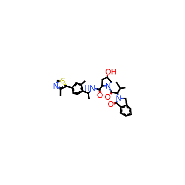 Cc1cc(-c2scnc2C)ccc1C(C)NC(=O)C1CC(O)CN1C(=O)C(C(C)C)N1Cc2ccccc2C1=O